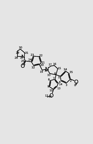 COc1ccc(C2(c3ccc(OC)cc3)CCCN(Cc3cccc(C(=O)N4CCCC4)c3)C2)cc1